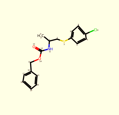 CC(CSc1ccc(Cl)cc1)NC(=O)OCc1ccccc1